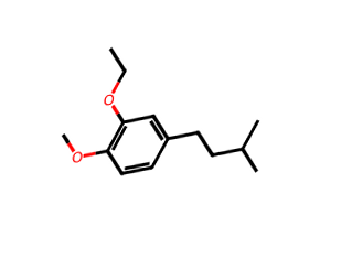 CCOc1cc(CCC(C)C)ccc1OC